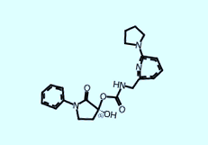 O=C(NCc1cccc(N2CCCC2)n1)O[C@@]1(O)CCN(c2ccccc2)C1=O